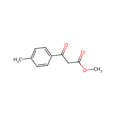 COC(=O)CC(=O)c1ccc(C)cc1